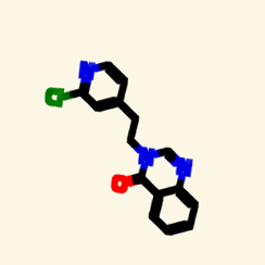 O=c1c2ccccc2ncn1CCc1ccnc(Cl)c1